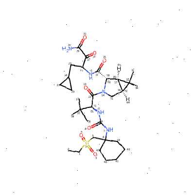 CCS(=O)(=O)CC1(NC(=O)N[C@H](C(=O)N2C[C@H]3[C@@H]([C@H]2C(=O)NC(CC2CC2)C(=O)C(N)=O)C3(C)C)C(C)(C)C)CCCCC1